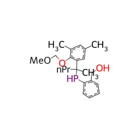 CCCC(C)(Pc1ccccc1CO)c1cc(C)cc(C)c1OCOC